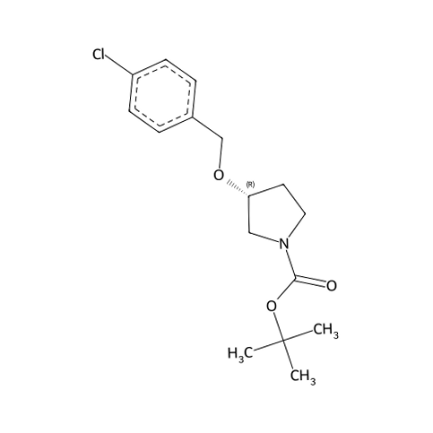 CC(C)(C)OC(=O)N1CC[C@@H](OCc2ccc(Cl)cc2)C1